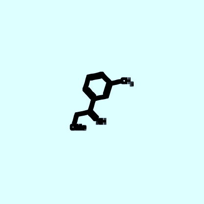 COCC(=N)c1cccc(C)c1